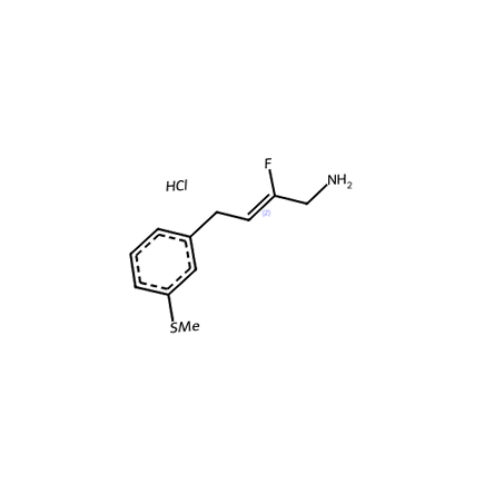 CSc1cccc(C/C=C(\F)CN)c1.Cl